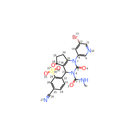 CNC(=O)N1C(=O)N(c2cncc(Br)c2)C2=C(C(=O)CC2)C1c1ccc(C#N)cc1S(C)(=O)=O